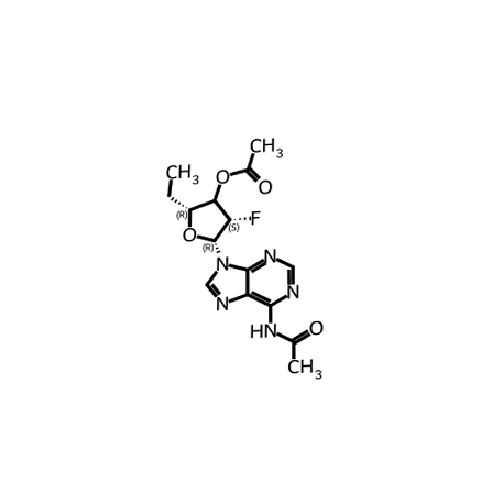 CC[C@H]1O[C@@H](n2cnc3c(NC(C)=O)ncnc32)[C@@H](F)C1OC(C)=O